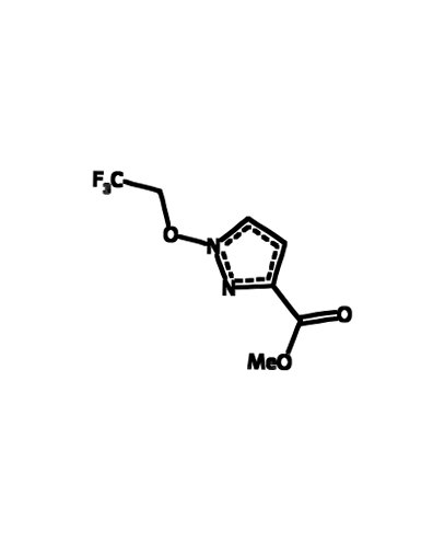 COC(=O)c1ccn(OCC(F)(F)F)n1